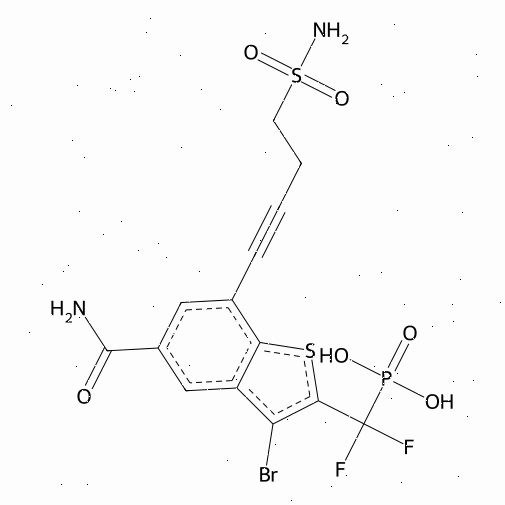 NC(=O)c1cc(C#CCCS(N)(=O)=O)c2sc(C(F)(F)P(=O)(O)O)c(Br)c2c1